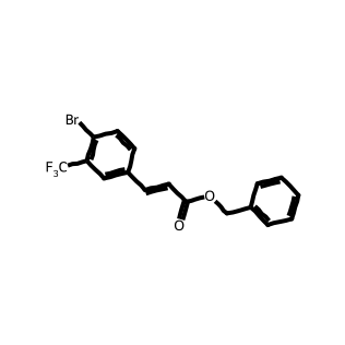 O=C(/C=C/c1ccc(Br)c(C(F)(F)F)c1)OCc1ccccc1